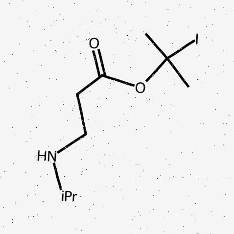 CC(C)NCCC(=O)OC(C)(C)I